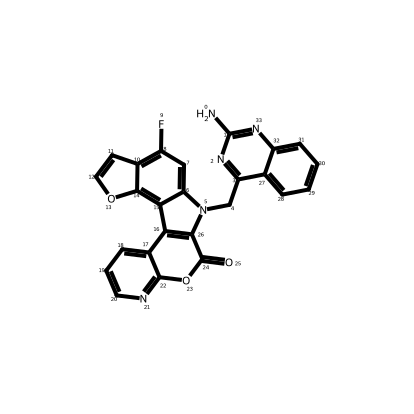 Nc1nc(Cn2c3cc(F)c4ccoc4c3c3c4cccnc4oc(=O)c32)c2ccccc2n1